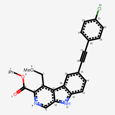 COCc1c(C(=O)OC(C)C)ncc2[nH]c3ccc(C#Cc4ccc(Cl)cc4)cc3c12